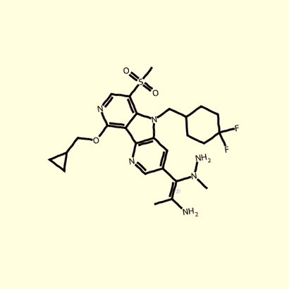 C/C(N)=C(\c1cnc2c3c(OCC4CC4)ncc(S(C)(=O)=O)c3n(CC3CCC(F)(F)CC3)c2c1)N(C)N